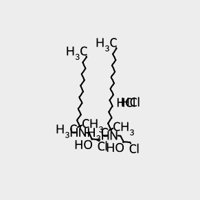 CCCCCCCCCCCCCC(C)(C)NCC(O)CCl.CCCCCCCCCCCCCCCC(C)(C)NCC(O)CCl.Cl.Cl